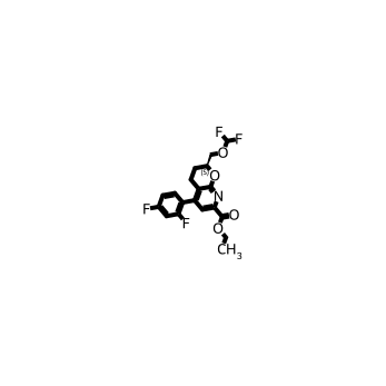 CCOC(=O)c1cc(-c2ccc(F)cc2F)c2c(n1)O[C@H](COC(F)F)CC2